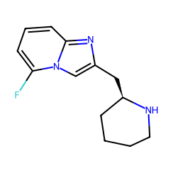 Fc1cccc2nc(C[C@@H]3CCCCN3)cn12